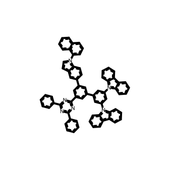 c1ccc(-c2nc(-c3ccccc3)nc(-c3cc(-c4cc(-n5c6ccccc6c6ccccc65)cc(-n5c6ccccc6c6ccccc65)c4)cc(-c4ccc5c(ccn5-c5cccc6ccccc56)c4)c3)n2)cc1